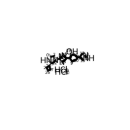 C[C@@H]1CN(c2ncc(-c3ccc(-c4cn[nH]c4)cc3O)nn2)C[C@H](C2CCC2)N1.Cl.Cl